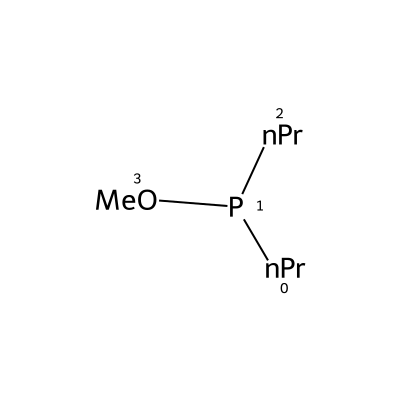 CCCP(CCC)OC